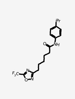 CC(C)c1ccc(NC(=O)CCCCCc2noc(C(F)(F)F)n2)cc1